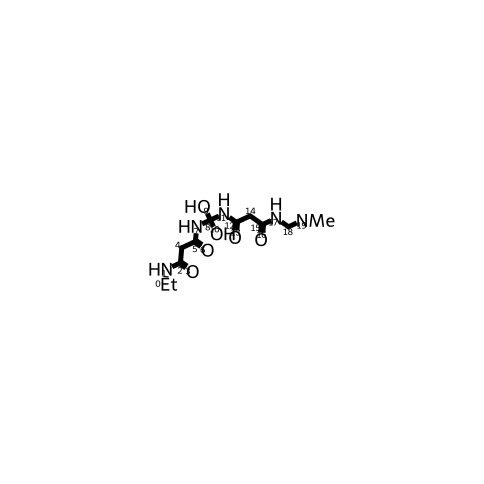 CCNC(=O)CC(=O)NC(O)(O)NC(=O)CC(=O)NCNC